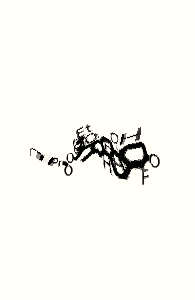 CCCC(=O)OCC(=O)[C@@]1(OC(=O)CC)C(C)C[C@H]2[C@@H]3CCC4=C(F)C(=O)C=C[C@]4(C)[C@@]3(F)C(O)C[C@@]21C